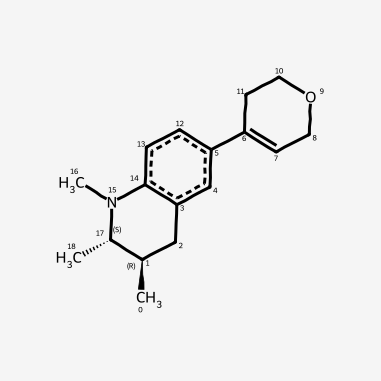 C[C@@H]1Cc2cc(C3=CCOCC3)ccc2N(C)[C@H]1C